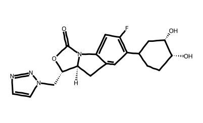 O=C1O[C@@H](Cn2ccnn2)[C@@H]2Cc3cc(C4CC[C@@H](O)[C@@H](O)C4)c(F)cc3N12